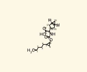 C=CCCCC1C[C@H]1OC(=O)NC(C(=O)O)[C@H]1C[C@@H]2C[C@@H]2C1